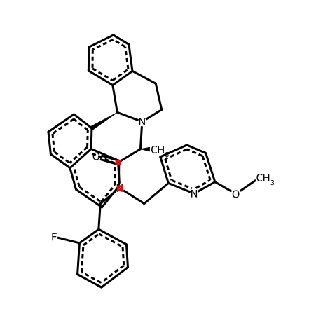 COc1cccc(CN(Cc2ccccc2F)C(=O)[C@H](C)N2CCc3ccccc3[C@@H]2c2cccc3ccccc23)n1